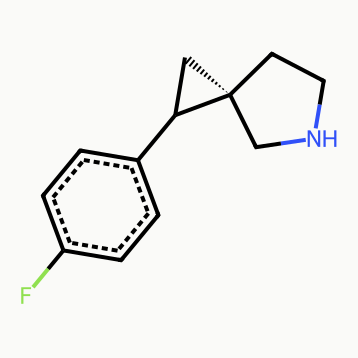 Fc1ccc(C2C[C@@]23CCNC3)cc1